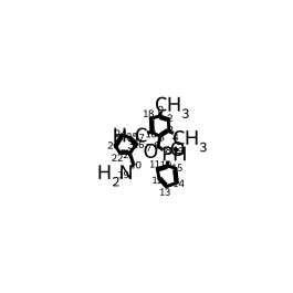 Cc1cc(C)c(C(=O)[PH](=O)c2ccccc2)c(C)c1.NCc1ccccc1